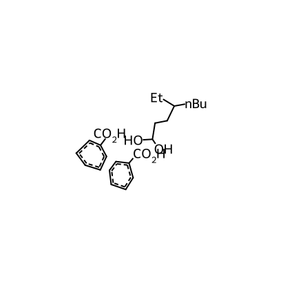 CCCCC(CC)CCC(O)O.O=C(O)c1ccccc1.O=C(O)c1ccccc1